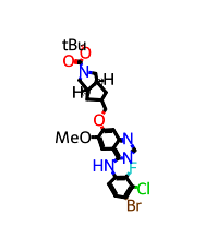 COc1cc2c(Nc3ccc(Br)c(Cl)c3F)ncnc2cc1OCC1C[C@@H]2CN(C(=O)OC(C)(C)C)C[C@@H]2C1